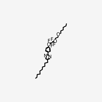 CCCCCCCCCCc1cnc(-c2ccc(OC(F)(F)C(F)(F)OCCOCCCCCC)cc2)nc1